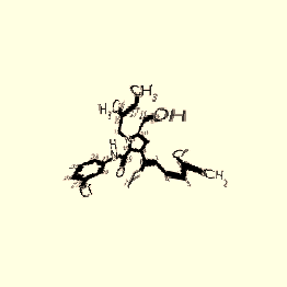 C=C(Cl)/C=C\C=C(/F)C1C[C@H](CO)N(CC(C)CC)C1C(=O)Nc1cccc(Cl)c1